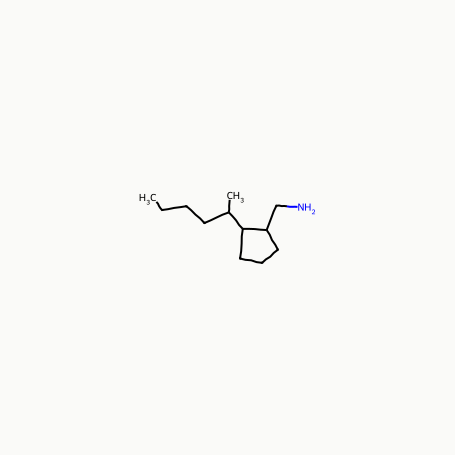 CCCCC(C)C1CCCC1CN